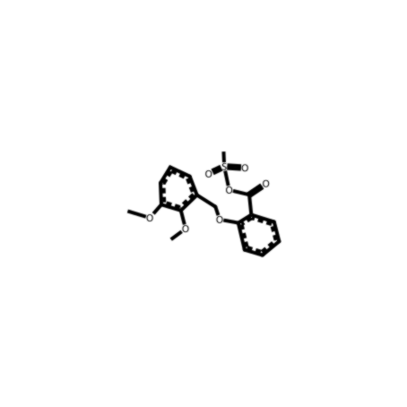 COc1cccc(COc2ccccc2C(=O)OS(C)(=O)=O)c1OC